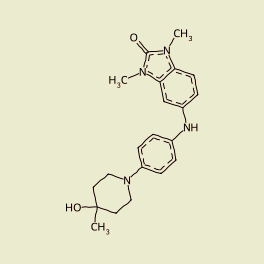 Cn1c(=O)n(C)c2cc(Nc3ccc(N4CCC(C)(O)CC4)cc3)ccc21